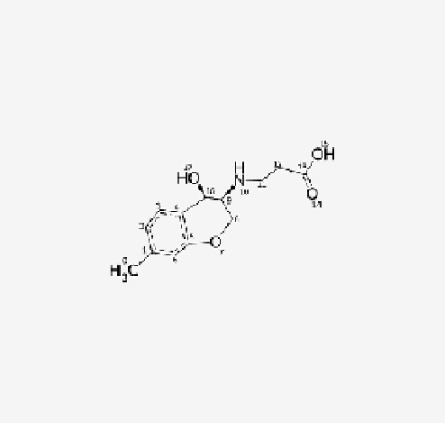 Cc1ccc2c(c1)OC[C@H](NCCC(=O)O)[C@@H]2O